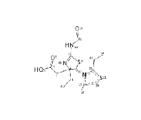 CCC1(CC(=O)O)CSC(NC=O)=N1.CCc1nc(C)cs1